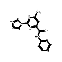 Cc1cc(C(=O)Nc2ccncc2)nc(-n2ccnc2)n1